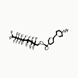 CCC[C@H]1CC[C@H]([C@H]2CC[C@H](C(=O)OCC(F)(F)C(F)(F)C(F)(F)C(F)(F)C(F)(F)C(F)(F)C(F)(F)C(F)F)CC2)CC1